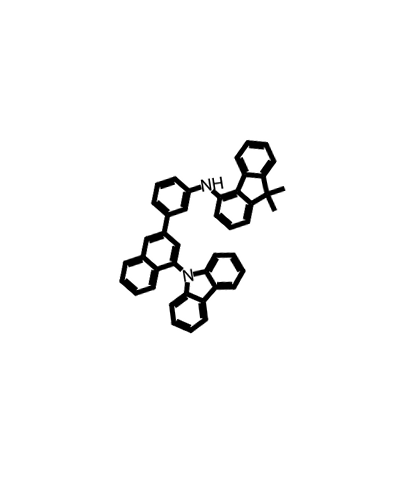 CC1(C)c2ccccc2-c2c(Nc3cccc(-c4cc(-n5c6ccccc6c6ccccc65)c5ccccc5c4)c3)cccc21